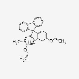 C=COC1=CC=C(C2(c3ccc(OC=C)c(C)c3)c3ccccc3-c3ccccc32)C(C)C1